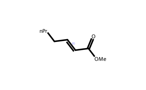 CCCC/C=C/C(=O)OC